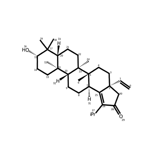 C=C[C@@]12CC[C@]3(C)[C@H](CC[C@@H]4[C@@]5(C)CC[C@H](O)C(C)(C)[C@@H]5CC[C@]43C)C1=C(C(C)C)C(=O)C2